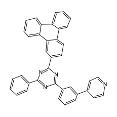 c1ccc(-c2nc(-c3cccc(-c4ccncc4)c3)nc(-c3ccc4c5ccccc5c5ccccc5c4c3)n2)cc1